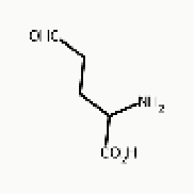 NC(CCC=O)C(=O)O